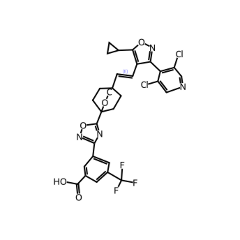 O=C(O)c1cc(-c2noc(C34CCC(/C=C/c5c(-c6c(Cl)cncc6Cl)noc5C5CC5)(CC3)CO4)n2)cc(C(F)(F)F)c1